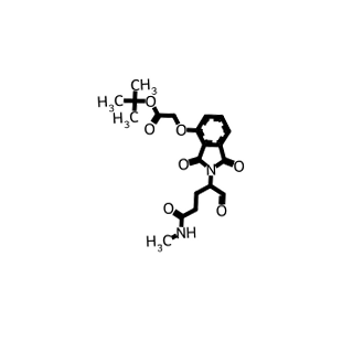 CNC(=O)CCC(C=O)N1C(=O)c2cccc(OCC(=O)OC(C)(C)C)c2C1=O